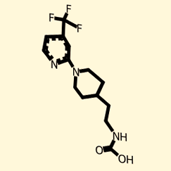 O=C(O)NCCC1CCN(c2cc(C(F)(F)F)ccn2)CC1